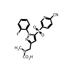 CN(Cc1cc(S(=O)(=O)c2ccc(C#N)nc2)n(-c2ccccc2F)n1)C(=O)O